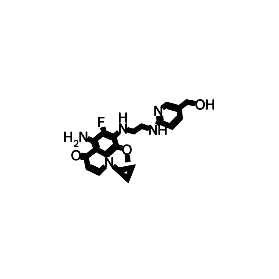 COc1c(NCCNc2ccc(CO)cn2)c(F)c(N)c2c(=O)ccn(C3CC3)c12